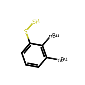 CCCCc1cccc(SS)c1CCCC